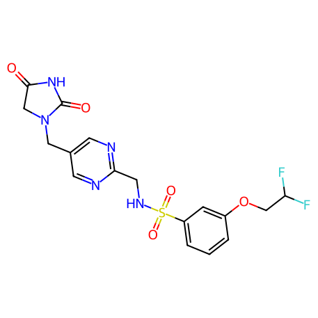 O=C1CN(Cc2cnc(CNS(=O)(=O)c3cccc(OCC(F)F)c3)nc2)C(=O)N1